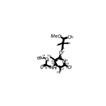 COC(=O)C(C)(C)COc1nc(Cl)c(F)c(NC(=O)OC(C)(C)C)c1I